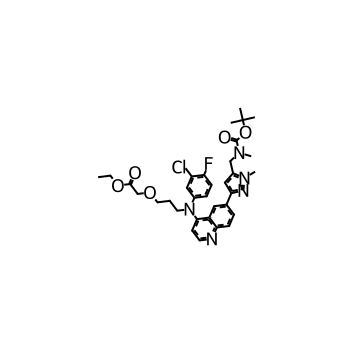 CCOC(=O)COCCCN(c1ccc(F)c(Cl)c1)c1ccnc2ccc(-c3cc(CN(C)C(=O)OC(C)(C)C)n(C)n3)cc12